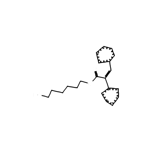 O=C(OCCCCCCO)C(=Cc1ccccc1)c1ccccc1